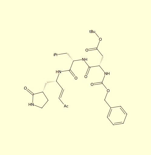 CC(=O)/C=C/[C@H](C[C@@H]1CCNC1=O)NC(=O)[C@H](CC(C)C)NC(=O)[C@H](CC(=O)OC(C)(C)C)NC(=O)OCc1ccccc1